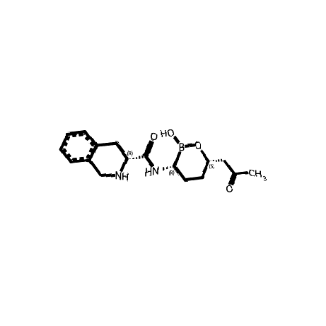 CC(=O)C[C@@H]1CC[C@H](NC(=O)[C@H]2Cc3ccccc3CN2)B(O)O1